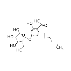 CCCCCCc1cc(OC2O[C@H](O)[C@@H](O)[C@H](O)[C@H]2CO)cc(O)c1C(=O)O